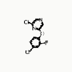 Fc1cc(Cl)ccc1Oc1cncc(Cl)n1